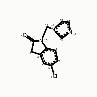 O=C1Cc2cc(Cl)ccc2N1Cn1ccnc1